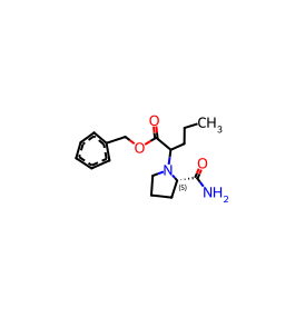 CCCC(C(=O)OCc1ccccc1)N1CCC[C@H]1C(N)=O